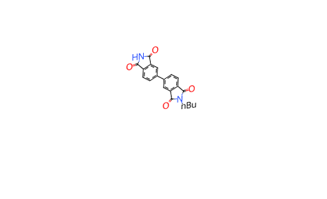 CCCCN1C(=O)c2ccc(-c3ccc4c(c3)C(=O)NC4=O)cc2C1=O